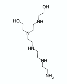 NCCNCCNCCN(CCO)CCNCCO